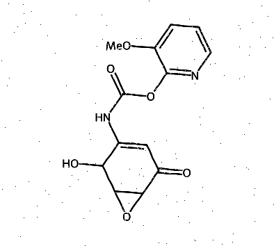 COc1cccnc1OC(=O)NC1=CC(=O)C2OC2C1O